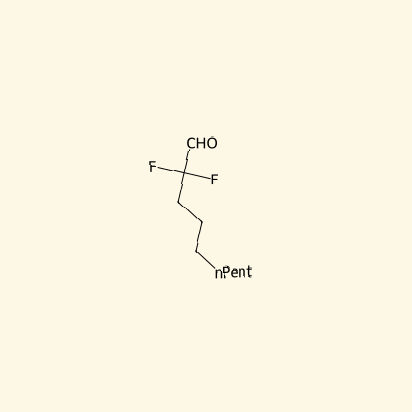 CCCCCCCCC(F)(F)C=O